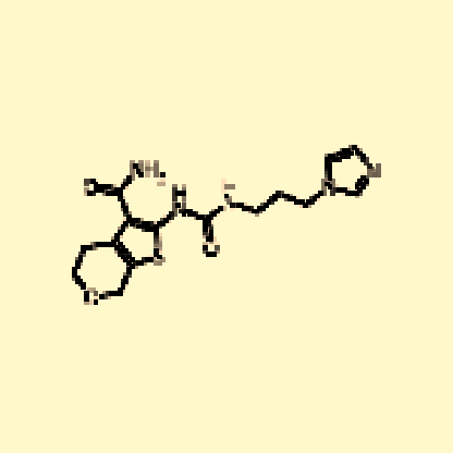 NC(=O)c1c(NC(=O)NCCCn2ccnc2)sc2c1CCOC2